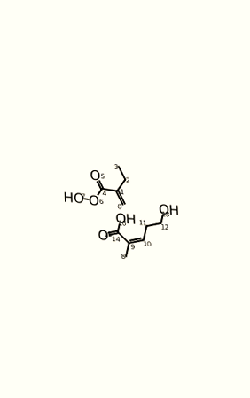 C=C(CC)C(=O)OO.CC(=CCCO)C(=O)O